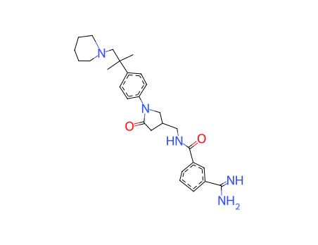 CC(C)(CN1CCCCC1)c1ccc(N2CC(CNC(=O)c3cccc(C(=N)N)c3)CC2=O)cc1